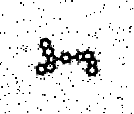 c1ccc2cc3c(cc2c1)c1c2ccccc2ccc1n3-c1ccc(-c2nc3ccc4sc5ccccc5c4c3o2)cc1